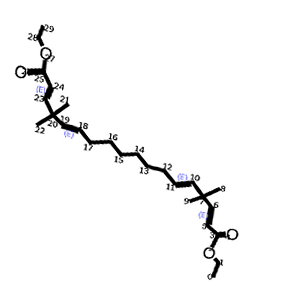 CCOC(=O)/C=C/C(C)(C)/C=C/CCCCCC/C=C/C(C)(C)/C=C/C(=O)OCC